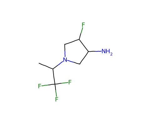 CC(N1CC(N)C(F)C1)C(F)(F)F